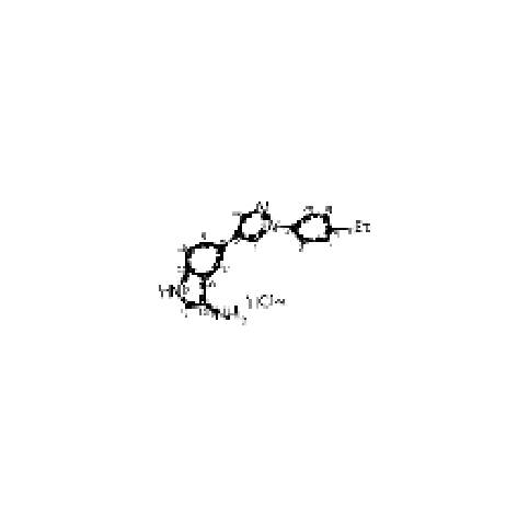 CCc1ccc(-n2cc(-c3ccc4[nH]cc(N)c4c3)cn2)cc1.Cl